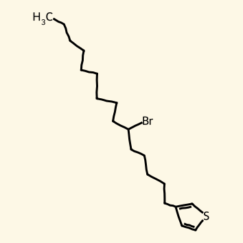 CCCCCCCCCC(Br)CCCCCc1ccsc1